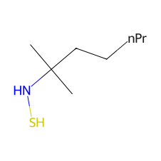 CCCCCC(C)(C)NS